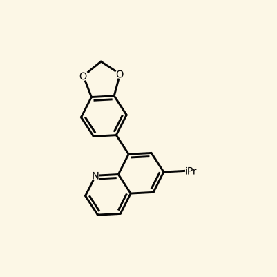 CC(C)c1cc(-c2ccc3c(c2)OCO3)c2ncccc2c1